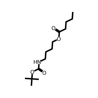 CCCCC(=O)OCCCCNC(=O)OC(C)(C)C